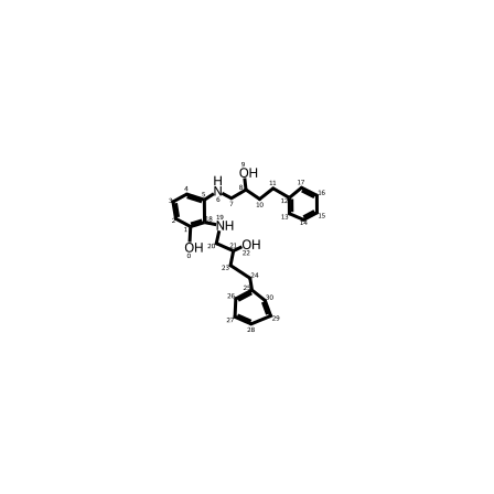 Oc1cccc(NCC(O)CCc2ccccc2)c1NCC(O)CCc1ccccc1